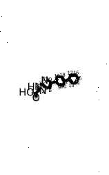 O=C(O)c1nc2cc(-c3ccc(-c4ccccc4)cc3)cnc2[nH]1